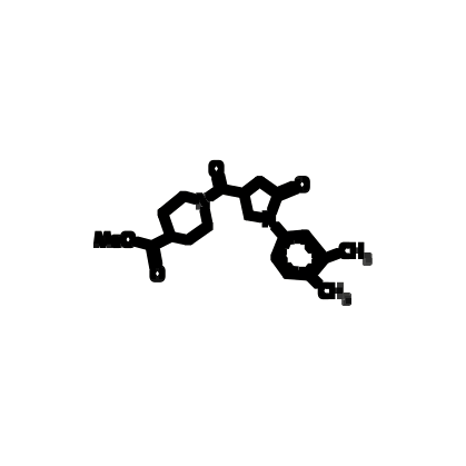 COC(=O)C1CCN(C(=O)C2CC(=O)N(c3ccc(C)c(C)c3)C2)CC1